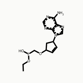 CCOP(O)COC1C=CC(n2cnc3c(N)ncnc32)C1